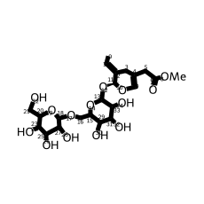 C/C=C1\CC(CC(=O)OC)=CO[C@H]1OC1OC(COC2OC(CO)C(O)C(O)C2O)C(O)C(O)C1O